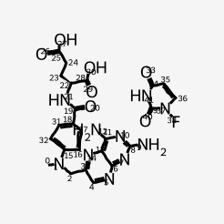 CN(Cc1cnc2nc(N)nc(N)c2n1)c1ccc(C(=O)N[C@@H](CCC(=O)O)C(=O)O)cc1.O=c1ccn(F)c(=O)[nH]1